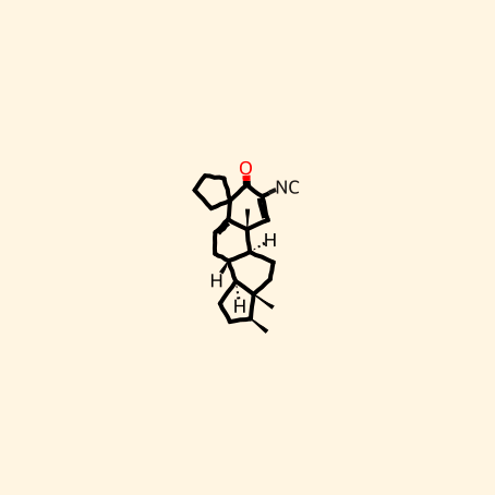 [C-]#[N+]C1=C[C@@]2(C)C(=CC[C@H]3[C@@H]4CC[C@H](C)[C@@]4(C)CC[C@@H]32)C2(CCCC2)C1=O